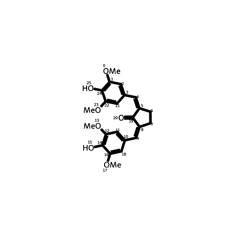 COc1cc(C=C2CCC(=Cc3cc(OC)c(O)c(OC)c3)C2=O)cc(OC)c1O